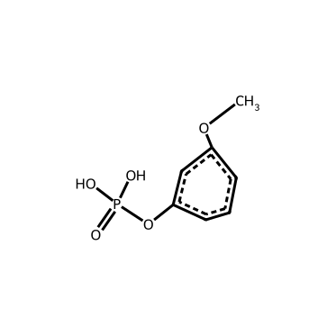 COc1cccc(OP(=O)(O)O)c1